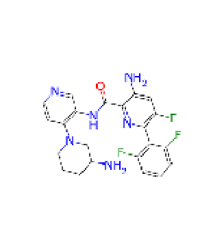 Nc1cc(F)c(-c2c(F)cccc2F)nc1C(=O)Nc1cnccc1N1CCC[C@H](N)C1